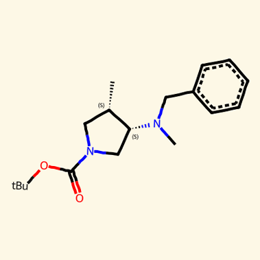 C[C@H]1CN(C(=O)OC(C)(C)C)C[C@H]1N(C)Cc1ccccc1